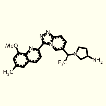 COc1cc(C)cc2ccc(-c3nnc4ccc([C@@H](N5CCC(N)C5)C(F)(F)F)cn34)nc12